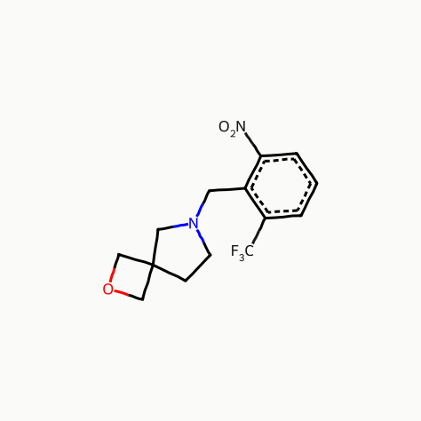 O=[N+]([O-])c1cccc(C(F)(F)F)c1CN1CCC2(COC2)C1